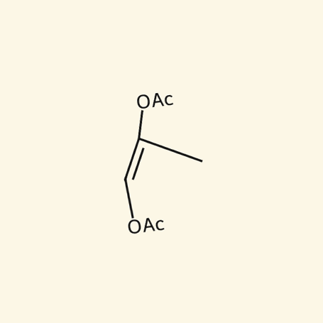 CC(=O)OC=C(C)OC(C)=O